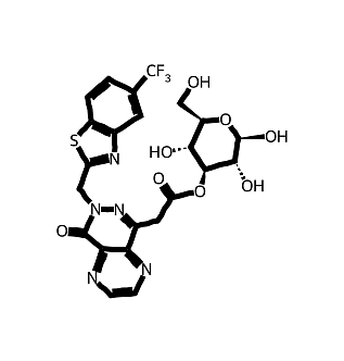 O=C(Cc1nn(Cc2nc3cc(C(F)(F)F)ccc3s2)c(=O)c2nccnc12)O[C@@H]1[C@@H](O)[C@H](O)O[C@H](CO)[C@H]1O